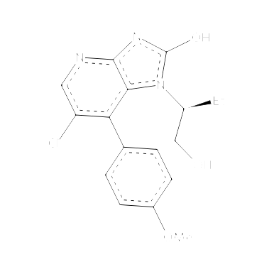 CC[C@@H](CO)n1c(O)nc2ncc(Cl)c(-c3ccc(OC)cc3)c21